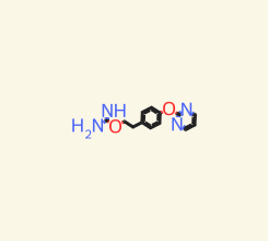 N=C(N)OCCc1ccc(Oc2ncccn2)cc1